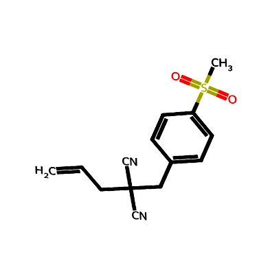 C=CCC(C#N)(C#N)Cc1ccc(S(C)(=O)=O)cc1